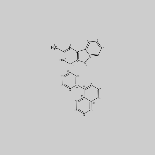 CC1=Nc2c(sc3ccccc23)C(c2cccc(-c3cccc4ccccc34)c2)N1